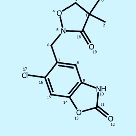 CC1(C)CON(Cc2cc3[nH]c(=O)oc3cc2Cl)C1=O